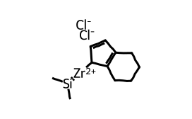 C[Si](C)=[Zr+2][CH]1C=CC2=C1CCCC2.[Cl-].[Cl-]